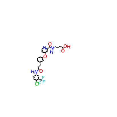 O=C(O)CCCNC(=O)c1cc(Oc2cccc(CCC(=O)Nc3ccc(Cl)c(C(F)(F)F)c3)c2)ccn1